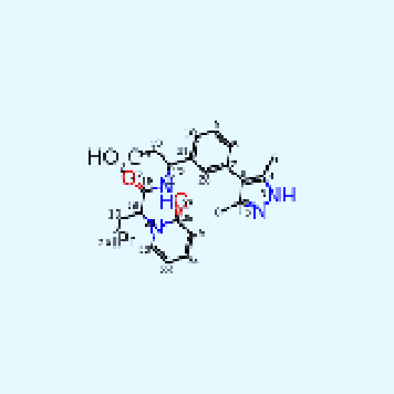 Cc1n[nH]c(C)c1-c1cccc(C(CC(=O)O)NC(=O)C(CC(C)C)n2ccccc2=O)c1